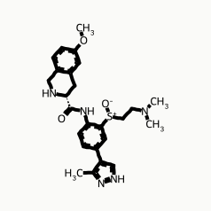 COc1ccc2c(c1)C[C@H](C(=O)Nc1ccc(-c3c[nH]nc3C)cc1[S+]([O-])CCN(C)C)NC2